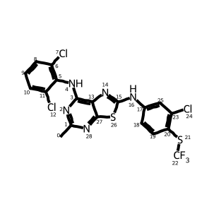 Cc1nc(Nc2c(Cl)cccc2Cl)c2nc(Nc3ccc(SC(F)(F)F)c(Cl)c3)sc2n1